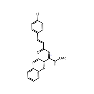 CC(=O)ON/C(=N/C(=O)C=Cc1ccc(Cl)cc1)c1ccc2ccccc2n1